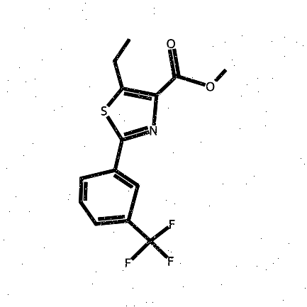 CCc1sc(-c2cccc(C(F)(F)F)c2)nc1C(=O)OC